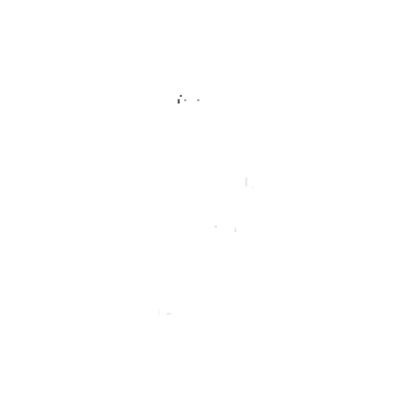 CC1CO1.CCCCCCCCCCCCCCCCCCO